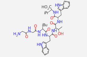 CCC(C)C(NC(=O)CNC(=O)CN)C(=O)NC(Cc1c[nH]c2ccccc12)C(=O)NC(C(=O)NC(Cc1c[nH]c2ccccc12)C(=O)NC(C(=O)O)C(C)C)C(C)O